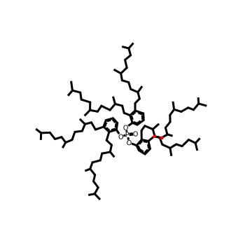 CC(C)CCCC(C)CCCC(C)CCc1cccc(OP(=O)(Oc2cccc(CCC(C)CCCC(C)CCCC(C)C)c2CCC(C)CCCC(C)CCCC(C)C)Oc2cccc(CCC(C)CCCC(C)CCCC(C)C)c2CCC(C)CCCC(C)CCCC(C)C)c1CCC(C)CCCC(C)CCCC(C)C